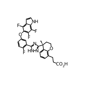 C[C@@]1(c2n[nH]c(-c3cc(Oc4c(F)c(F)c5[nH]ccc5c4F)ccc3F)n2)CCOc2c(CCC(=O)O)cccc21